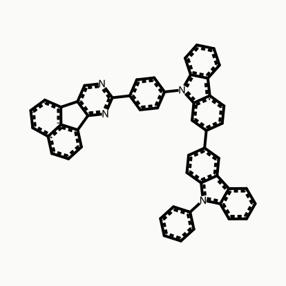 c1ccc(-n2c3ccccc3c3cc(-c4ccc5c6ccccc6n(-c6ccc(-c7ncc8c(n7)-c7cccc9cccc-8c79)cc6)c5c4)ccc32)cc1